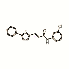 O=C(/C=C/c1ccc(-c2ccccc2)s1)Nc1cccc(Cl)c1